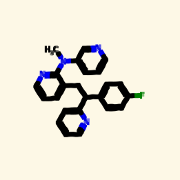 CN(c1cccnc1)c1ncccc1CC(c1ccc(F)cc1)c1ccccn1